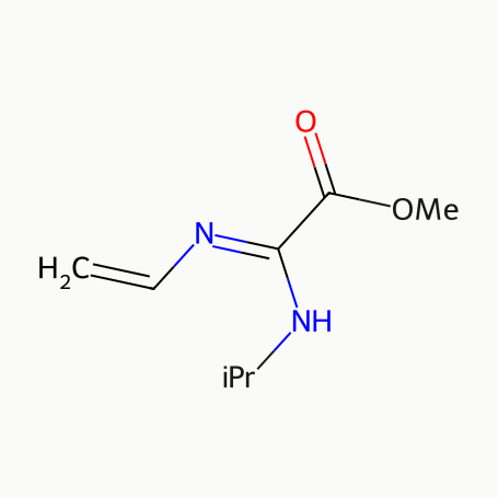 C=C/N=C(\NC(C)C)C(=O)OC